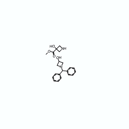 COC(=O)C1(O)CNC1.OC1CN(C(c2ccccc2)c2ccccc2)C1